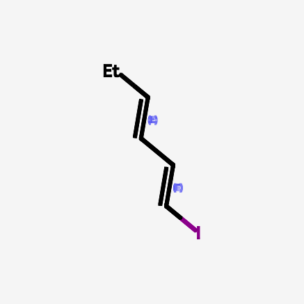 CC/C=C/C=C/I